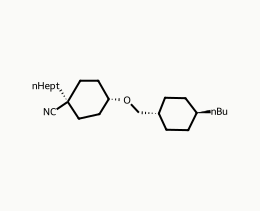 CCCCCCC[C@]1(C#N)CC[C@H](OC[C@H]2CC[C@H](CCCC)CC2)CC1